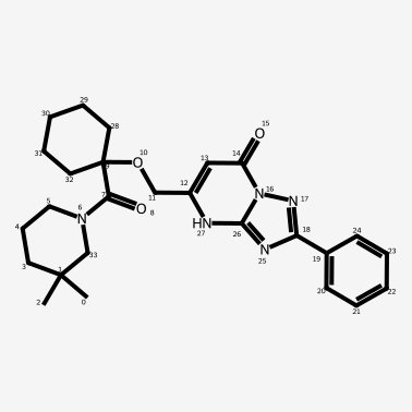 CC1(C)CCCN(C(=O)C2(OCc3cc(=O)n4nc(-c5ccccc5)nc4[nH]3)CCCCC2)C1